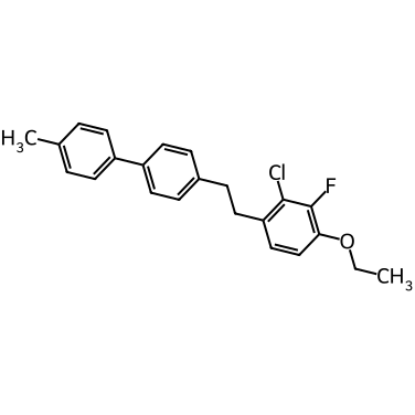 CCOc1ccc(CCc2ccc(-c3ccc(C)cc3)cc2)c(Cl)c1F